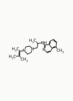 CC(C)=C(C)N1CCN(CC(C)Nc2nccc3c(C)cccc23)CC1